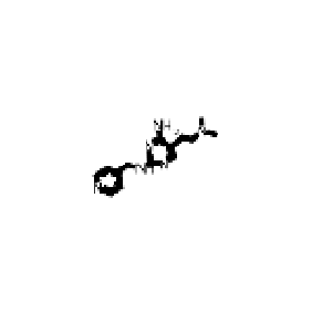 CN(C)CCc1cnc(NCc2ccncc2)nc1N